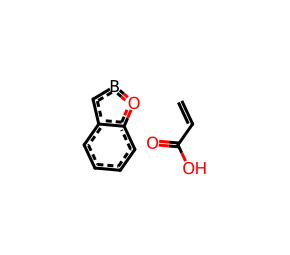 C=CC(=O)O.b1cc2ccccc2o1